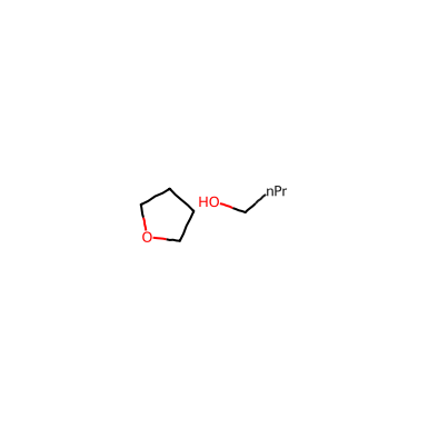 C1CCOC1.CCCCO